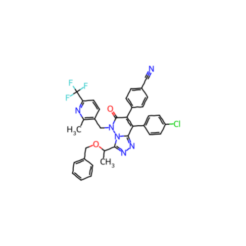 Cc1nc(C(F)(F)F)ccc1Cn1c(=O)c(-c2ccc(C#N)cc2)c(-c2ccc(Cl)cc2)c2nnc(C(C)OCc3ccccc3)n21